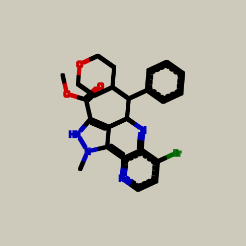 COC(=O)C1=C2C(=c3nccc(Br)c3=NC2C(c2ccccc2)C2CCOCC2)N(C)N1